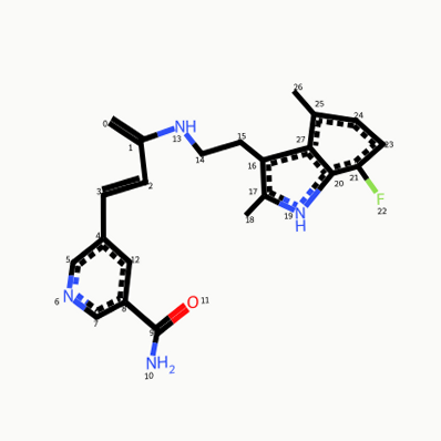 C=C(/C=C/c1cncc(C(N)=O)c1)NCCc1c(C)[nH]c2c(F)ccc(C)c12